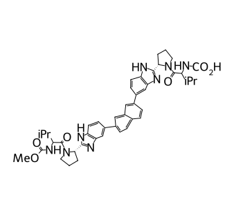 COC(=O)NC(C(=O)N1CCC[C@H]1c1nc2cc(-c3ccc4ccc(-c5ccc6[nH]c([C@@H]7CCCN7C(=O)C(NC(=O)O)C(C)C)nc6c5)cc4c3)ccc2[nH]1)C(C)C